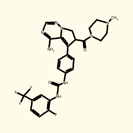 CN1CCN(C(=O)C2CN3N=CN=C(N)C3=C2c2ccc(NC(=O)Nc3cc(C(F)(F)F)ccc3F)cc2)CC1